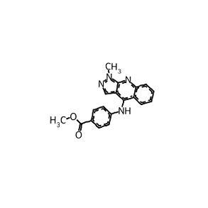 COC(=O)c1ccc(Nc2c3ccccc3nc3c2cnn3C)cc1